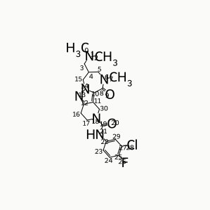 CN(C)CC1CN(C)C(=O)c2c3c(nn2C1)CCN(C(=O)Nc1ccc(F)c(Cl)c1)C3